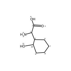 NC(C(=O)O)C1CCCCC1O